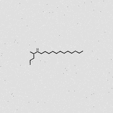 CCCCCCCCCCCCNC(C)CCC